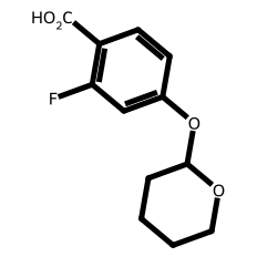 O=C(O)c1ccc(OC2CCCCO2)cc1F